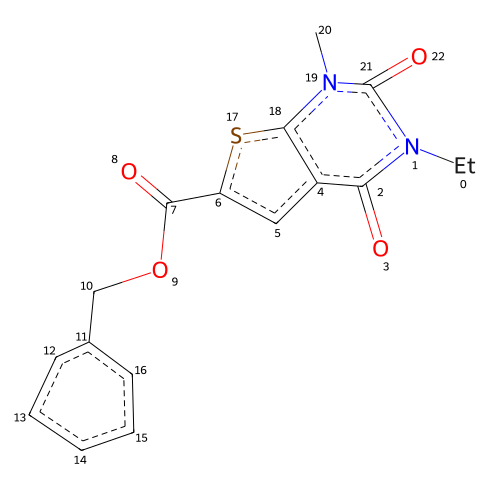 CCn1c(=O)c2cc(C(=O)OCc3ccccc3)sc2n(C)c1=O